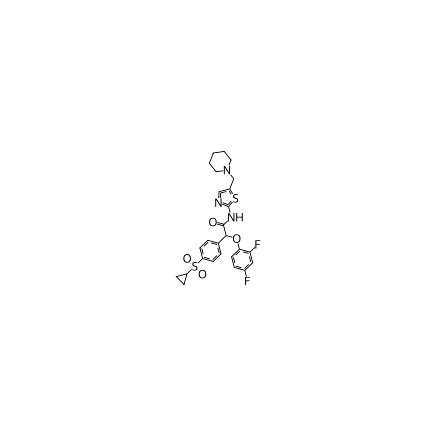 O=C(Nc1ncc(CN2CCCCC2)s1)C(Oc1ccc(F)cc1F)c1ccc(S(=O)(=O)C2CC2)cc1